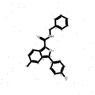 Cc1ccc2c(C(=O)NCc3ccccc3)oc(-c3ccc(Cl)cc3)c2c1